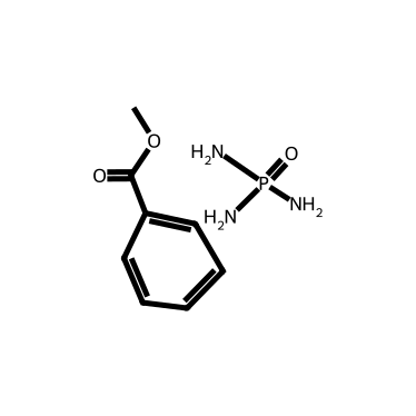 COC(=O)c1ccccc1.NP(N)(N)=O